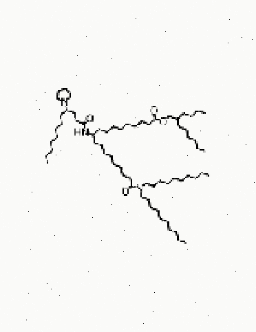 CCCCCCCCCCN(CCCCCCCCCC)C(=O)CCCCCCCCC(CCCCCCCCC(=O)OCC(CCCC)CCCCCC)NC(=O)CCC(CCCCCCCC)N1CCCC1